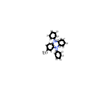 CCc1ccc2c(c1)N(c1ccccc1)c1ccccc1N2c1ccccc1